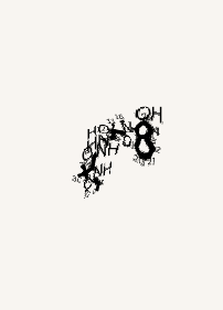 C/C=C(/N[C@H](C(=O)NNC[C@](C)(O)C(=O)N(C)[C@H]1c2ccccc2C[C@H]1O)C(C)(C)C)OC